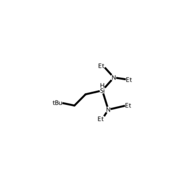 CCN(CC)[SiH](CCC(C)(C)C)N(CC)CC